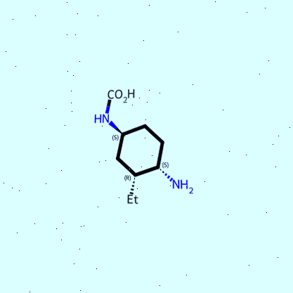 CC[C@@H]1C[C@@H](NC(=O)O)CC[C@@H]1N